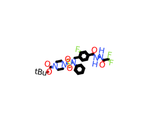 CC(C)(C)OC(=O)N1CCN(S(=O)(=O)N(Cc2ccc(C(=O)NNC(=O)C(F)F)cc2F)c2ccccc2)CC1